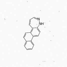 C1=Cc2c(ccc3c2ccc2ccccc23)NN=C1